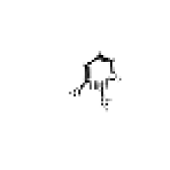 [O]C1=CC=CO[NH+]1[O-]